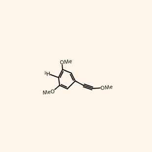 [2H]c1c(OC)cc(C#COC)cc1OC